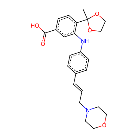 CC1(c2ccc(C(=O)O)cc2Nc2ccc(/C=C/CN3CCOCC3)cc2)OCCO1